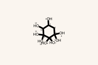 OC1CC(O)(O)C(O)(O)C(O)(O)C1O